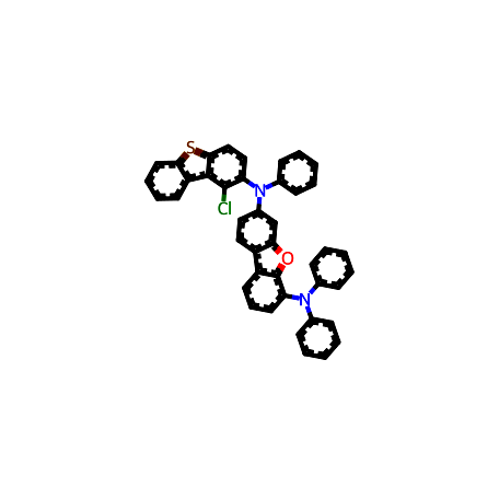 Clc1c(N(c2ccccc2)c2ccc3c(c2)oc2c(N(c4ccccc4)c4ccccc4)cccc23)ccc2sc3ccccc3c12